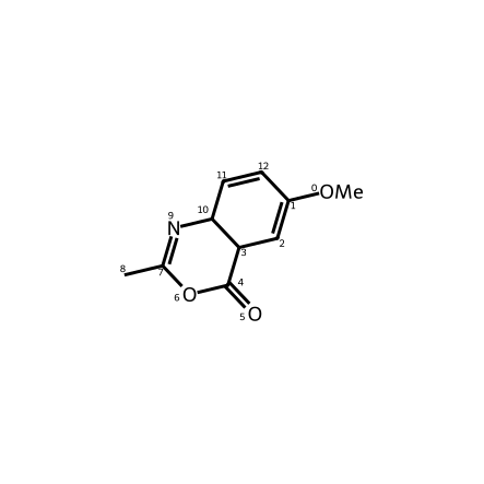 COC1=CC2C(=O)OC(C)=NC2C=C1